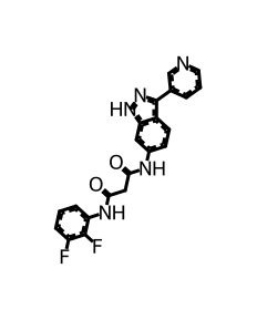 O=C(CC(=O)Nc1cccc(F)c1F)Nc1ccc2c(-c3cccnc3)n[nH]c2c1